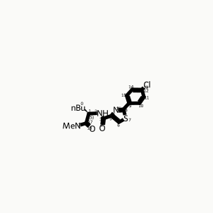 CCCC[C@H](NC(=O)c1csc(-c2ccc(Cl)cc2)n1)C(=O)NC